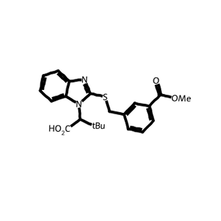 COC(=O)c1cccc(CSc2nc3ccccc3n2C(C(=O)O)C(C)(C)C)c1